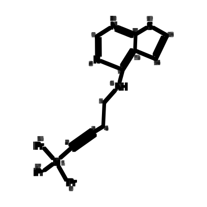 CC(C)[Si](C#CCCNc1ncnc2sccc12)(C(C)C)C(C)C